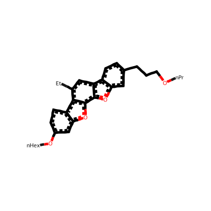 CCCCCCOc1ccc2c(c1)oc1c3oc4cc(CCCOCCC)ccc4c3cc(CC)c21